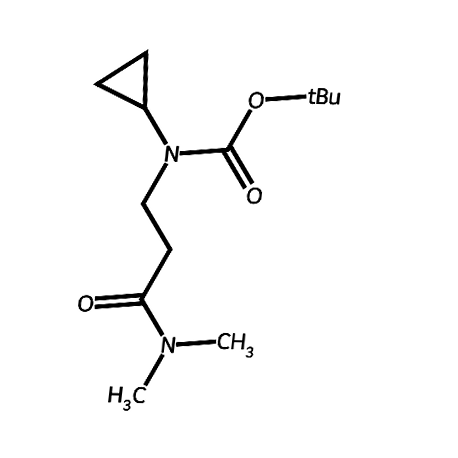 CN(C)C(=O)CCN(C(=O)OC(C)(C)C)C1CC1